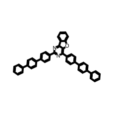 c1ccc(-c2ccc(-c3ccc(-c4nc(-c5ccc(-c6ccc(-c7ccccc7)cc6)cc5)c5oc6ccccc6c5n4)cc3)cc2)cc1